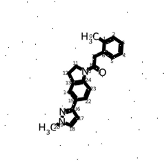 Cc1ccccc1CC(=O)N1CCc2cc(-c3ccn(C)n3)ccc21